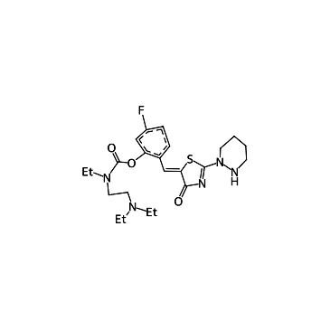 CCN(CC)CCN(CC)C(=O)Oc1cc(F)ccc1/C=C1\SC(N2CCCCN2)=NC1=O